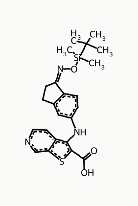 CC(C)(C)[Si](C)(C)O/N=C1/CCc2cc(Nc3c(C(=O)O)sc4cnccc34)ccc21